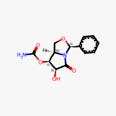 NC(=O)O[C@@H]1[C@H](O)C(=O)N2[C@@H]1CO[C@H]2c1ccccc1